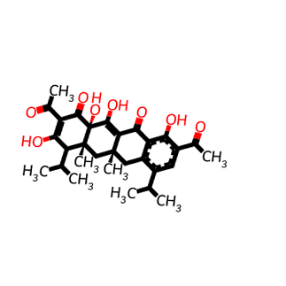 CC(=O)C1=C(O)C(C(C)C)[C@@]2(C)C[C@@]3(C)Cc4c(C(C)C)cc(C(C)=O)c(O)c4C(=O)C3=C(O)[C@@]2(O)C1=O